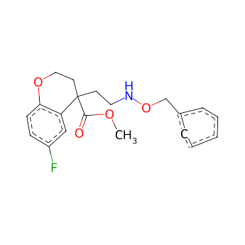 COC(=O)C1(CCNOCc2ccccc2)CCOc2ccc(F)cc21